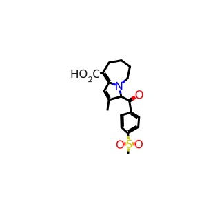 CC1=CC2=C(C(=O)O)CCCCN2C1C(=O)c1ccc(S(C)(=O)=O)cc1